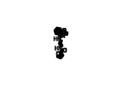 O=C(NCCCNC1=NS(=O)(=O)c2ccccc21)c1ccco1